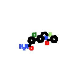 NC(=O)c1ccc(Cl)c(-c2ccc3c(c2)CCCN3C(=O)c2ccccc2F)c1